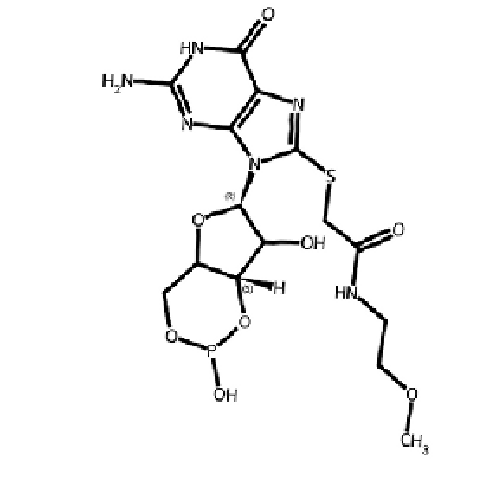 COCCNC(=O)CSc1nc2c(=O)[nH]c(N)nc2n1[C@@H]1OC2COP(O)O[C@H]2C1O